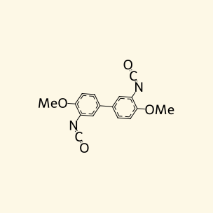 COc1ccc(-c2ccc(OC)c(N=C=O)c2)cc1N=C=O